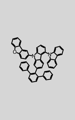 c1ccc(-c2cccc(-c3ccccc3)c2-c2ccc3c4c(-n5c6ccccc6c6ccccc65)cccc4n(-c4ccc5oc6ccccc6c5c4)c3c2)cc1